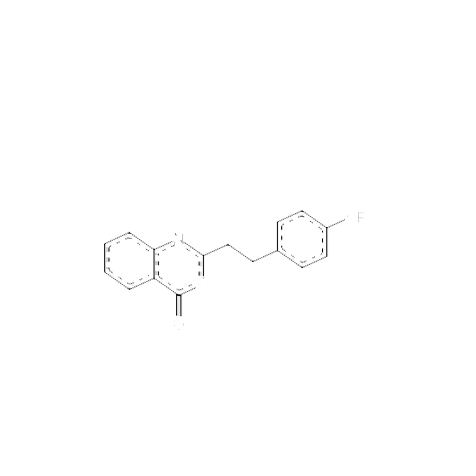 O=c1oc(CCc2ccc(C(F)(F)F)cc2)nc2ccccc12